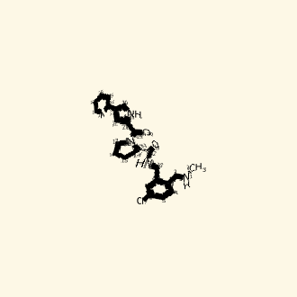 CNCc1ccc(Cl)cc1CNC(=O)[C@@H]1CCCN1C(=O)c1cc(-c2ccccn2)c[nH]1